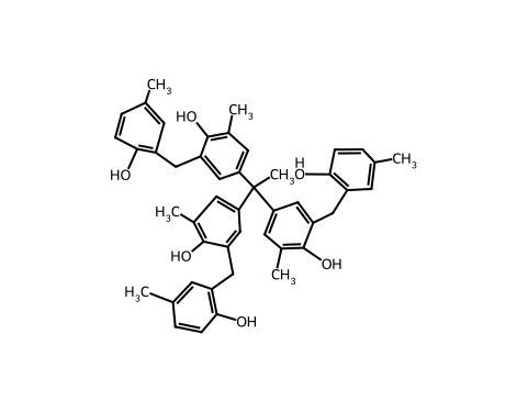 Cc1ccc(O)c(Cc2cc(C(C)(c3cc(C)c(O)c(Cc4cc(C)ccc4O)c3)c3cc(C)c(O)c(Cc4cc(C)ccc4O)c3)cc(C)c2O)c1